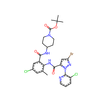 Cc1cc(Cl)cc(C(=O)NC2CCN(C(=O)OC(C)(C)C)CC2)c1NC(=O)c1cc(Br)nn1-c1ncccc1Cl